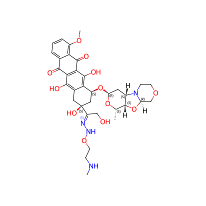 CNCCON/N=C(\CO)[C@]1(O)Cc2c(O)c3c(c(O)c2[C@@H](O[C@H]2C[C@H]4[C@H](O[C@@H]5COCCN54)[C@H](C)O2)C1)C(=O)c1c(OC)cccc1C3=O